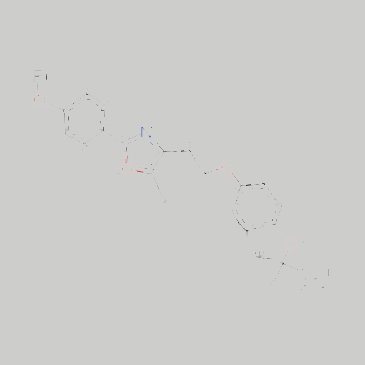 CCOc1ccc(-c2nc(CCOc3ccc(OC(C)(C)C(=O)O)cc3)c(C)o2)cc1